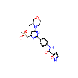 C[C@H]1COCCN1c1cc(CS(C)(=O)=O)nc(-c2ccc(NC(=O)c3ccno3)cc2)n1